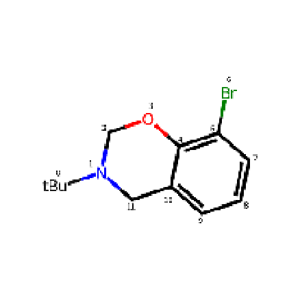 CC(C)(C)N1COc2c(Br)cccc2C1